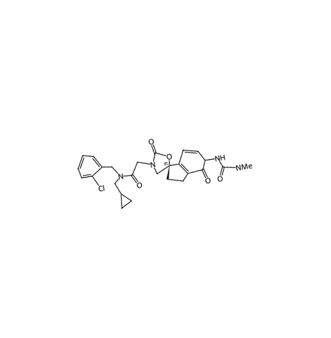 CNC(=O)NC1C=CC2=C(CC[C@]23CN(CC(=O)N(Cc2ccccc2Cl)CC2CC2)C(=O)O3)C1=O